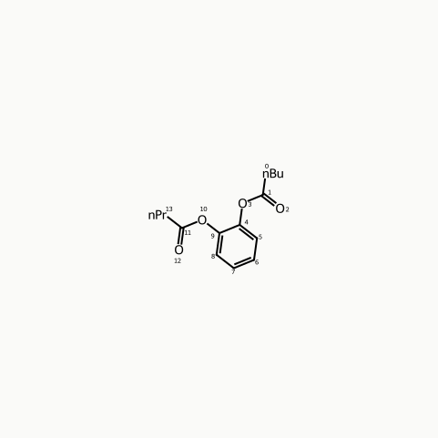 CCCCC(=O)Oc1ccccc1OC(=O)CCC